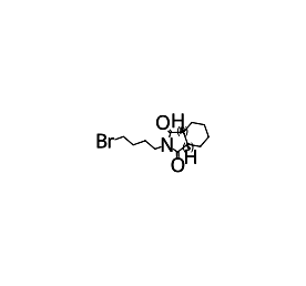 O=C1[C@H]2CCCC[C@H]2C(=O)N1CCCCBr